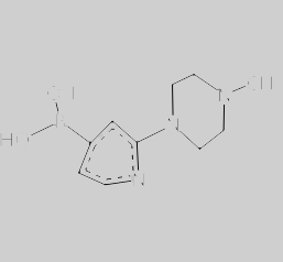 CN1CCN(c2cc(B(O)O)ccn2)CC1